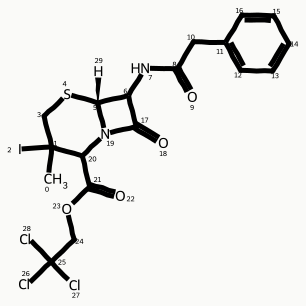 CC1(I)CS[C@@H]2C(NC(=O)Cc3ccccc3)C(=O)N2C1C(=O)OCC(Cl)(Cl)Cl